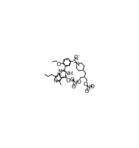 CCCc1nc(C)c2c(=O)[nH]c(-c3cc([S+]([O-])N4CCC(CC(CO[N+](=O)[O-])CO[N+](=O)[O-])CC4)ccc3OCC)nn12